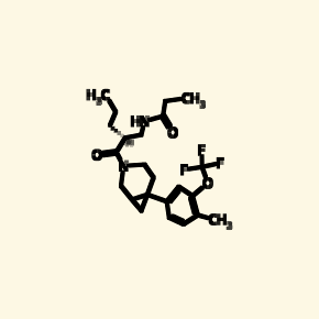 CCC[C@H](CNC(=O)CC)C(=O)N1CCC2(c3ccc(C)c(OC(F)(F)F)c3)CC2C1